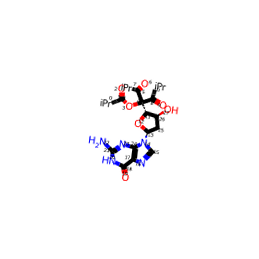 CC(C)C(=O)OC(C(=O)C(C)C)(C(=O)C(C)C)[C@H]1O[C@@H](n2cnc3c(=O)[nH]c(N)nc32)C[C@@H]1O